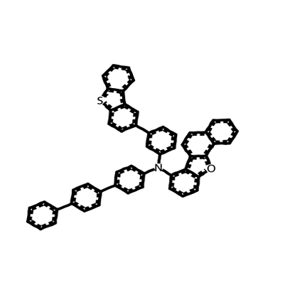 c1ccc(-c2ccc(-c3ccc(N(c4cccc(-c5ccc6sc7ccccc7c6c5)c4)c4cccc5oc6c7ccccc7ccc6c45)cc3)cc2)cc1